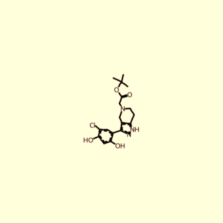 CC(C)(C)OC(=O)CN1CCc2[nH]nc(-c3cc(Cl)c(O)cc3O)c2C1